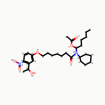 CCCCCC(OC(C)=O)N(C(=O)CCCCCCOc1ccc([N+](=O)[O-])c(C(C)O)c1)C1CCCCC1